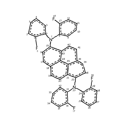 Fc1ccccc1N(c1ccccc1F)c1ccc2ccc3c(N(c4ccccc4F)c4ccccc4F)ccc4ccc1c2c43